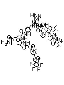 CC[C@H](C)[C@@H]([C@@H](CC(=O)N1CCC[C@H]1[C@H](OC)[C@@H](C)C(O)N[C@@H](Cc1nc[nH]n1)C(=O)NCc1ccc(NC(=O)[C@H](CCCNC(N)=O)NC(=O)[C@@H](NC(=O)CCC(=O)N2CCC(C(=O)Oc3c(F)c(F)c(F)c(F)c3F)CC2C)C(C)C)cc1)OC)N(C)C(=O)[C@@H](NC(=O)[C@H](C(C)C)N(C)C)C(C)C